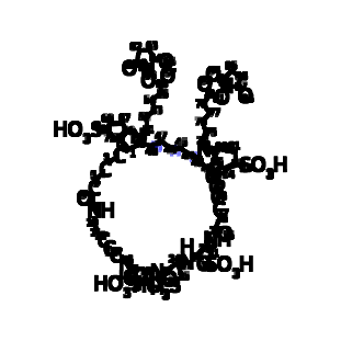 CC12CCCCCC(=O)NCCCCCNC(=O)C(CS(=O)(=O)O)NC(=O)C(CS(=O)(=O)O)NC(=O)C(CS(=O)(=O)O)NC(=O)CCCCCC3(C)/C(=C/C=C/C=C/C1=[N+](CCCCCC(=O)ON1C(=O)CCC1=O)c1ccc(S(=O)(=O)O)cc12)N(CCCCCC(=O)ON1C(=O)CCC1=O)c1ccc(S(=O)(=O)O)cc13